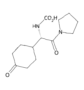 O=C1CCC([C@H](NC(=O)O)C(=O)N2CCCC2)CC1